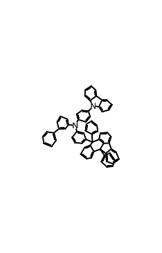 c1ccc(-c2cccc(N(c3ccc(-n4c5ccccc5c5ccccc54)cc3)c3cccc(C4(c5ccccc5)c5ccccc5C5(c6ccccc6)c6ccccc6-c6cccc4c65)c3)c2)cc1